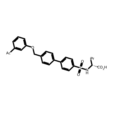 CC(=O)c1cccc(OCc2ccc(-c3ccc(S(=O)(=O)N[C@@H](C(=O)O)C(C)C)cc3)cc2)c1